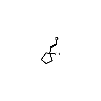 N#CC=CC1(O)CCCC1